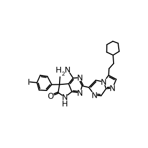 CC1(c2ccc(I)cc2)C(=O)Nc2nc(-c3cn4c(CCC5CCCCC5)cnc4cn3)nc(N)c21